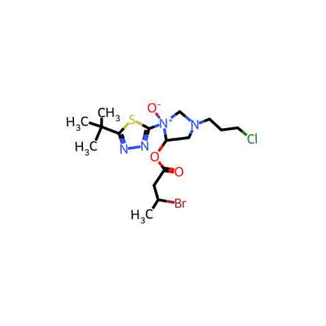 CC(Br)CC(=O)OC1CN(CCCCl)C[N+]1([O-])c1nnc(C(C)(C)C)s1